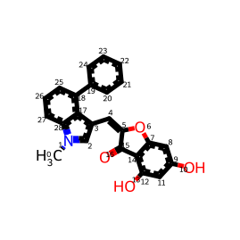 Cn1cc(/C=C2/Oc3cc(O)cc(O)c3C2=O)c2c(-c3ccccc3)cccc21